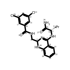 CC(C)[C@H](NC1=NC(CNC(=O)c2cc(Cl)cc(Cl)c2)Nc2ccccc21)C(N)=O